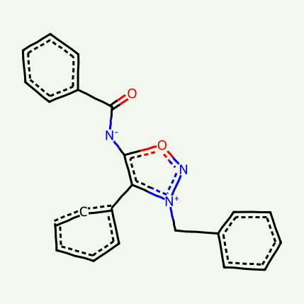 O=C([N-]c1on[n+](Cc2ccccc2)c1-c1ccccc1)c1ccccc1